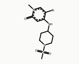 Cn1cc(Br)c(NC2CCN(S(C)(=O)=O)CC2)cc1=O